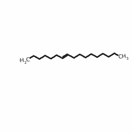 [CH2]CCCCCC=CCCCCCCCCC